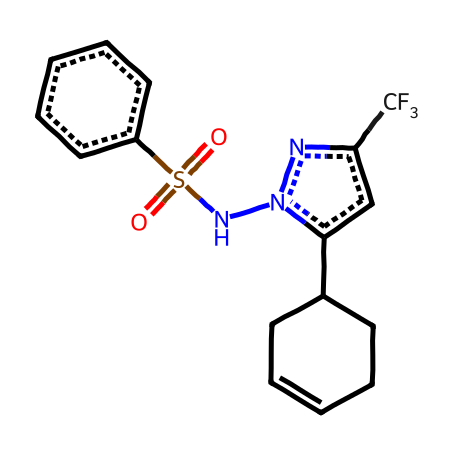 O=S(=O)(Nn1nc(C(F)(F)F)cc1C1CC=CCC1)c1ccccc1